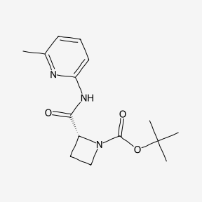 Cc1cccc(NC(=O)[C@H]2CCN2C(=O)OC(C)(C)C)n1